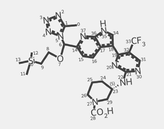 Cc1nnnn1C(OCC[Si](C)(C)C)c1ccc2c(-c3nc(N[C@H]4CCCN(C(=O)O)C4)ncc3C(F)(F)F)c[nH]c2n1